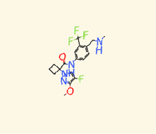 CNCc1ccc(NC(=O)C2(n3cc(F)c(OC)n3)CCC2)cc1C(F)(F)F